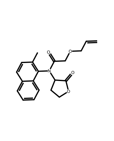 C=CCOCC(=O)N(c1c(C)ccc2ccccc12)C1CCOC1=O